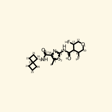 Cc1sc(NC(=O)C2C(F)COCC2F)nc1C(=O)N[C@H]1CCC12CCC2